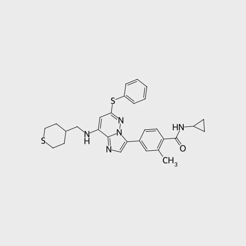 Cc1cc(-c2cnc3c(NCC4CCSCC4)cc(Sc4ccccc4)nn23)ccc1C(=O)NC1CC1